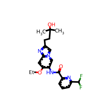 CCOc1cc2nc(CCC(C)(C)O)cn2cc1NC(=O)c1cccc(C(F)F)n1